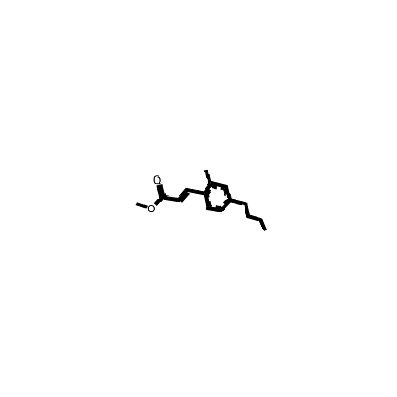 CCCCc1ccc(/C=C/C(=O)OC)c(C)c1